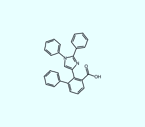 O=C(O)c1cccc(-c2ccccc2)c1-c1cn(-c2ccccc2)c(-c2ccccc2)n1